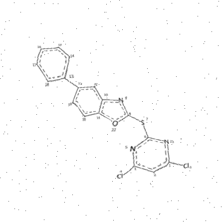 Clc1cc(Cl)nc(Sc2nc3cc(-c4ccccc4)ccc3o2)n1